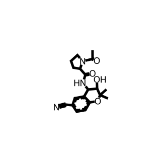 CC(=O)N1CCCC1C(=O)NC1c2cc(C#N)ccc2OC(C)(C)C1O